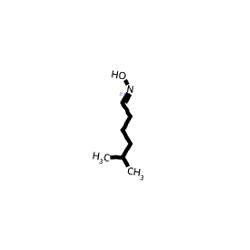 CC(C)CCC/C=N/O